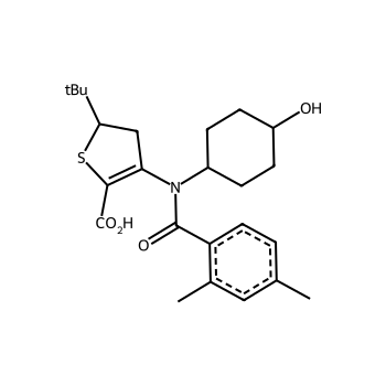 Cc1ccc(C(=O)N(C2=C(C(=O)O)SC(C(C)(C)C)C2)C2CCC(O)CC2)c(C)c1